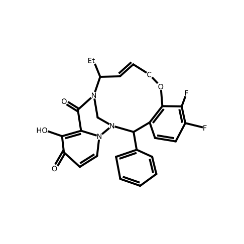 CCC1/C=C/COc2c(ccc(F)c2F)C(c2ccccc2)N2CN1C(=O)c1c(O)c(=O)ccn12